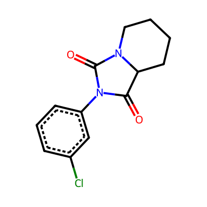 O=C1C2CCCCN2C(=O)N1c1cccc(Cl)c1